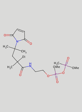 CCC(C)(CC(C)(C)N1C(=O)C=CC1=O)C(=O)NCCOP(=O)(OC)OP(C)(=O)OC